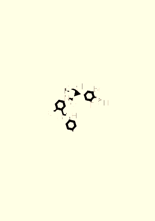 COc1c(F)cc([C@@H]2[C@@H](C(=O)Nc3ccc(Cl)c(C(=O)Nc4ccc(F)cc4)c3)C2(Cl)Cl)cc1Br